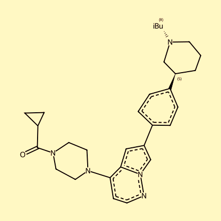 CC[C@@H](C)N1CCC[C@@H](c2ccc(-c3cc4c(N5CCN(C(=O)C6CC6)CC5)ccnn4c3)cc2)C1